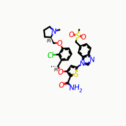 C[C@@H](Oc1cc(-n2cnc3ccc(CS(C)(=O)=O)cc32)sc1C(N)=O)c1cccc(OC[C@H]2CCCN2C)c1Cl